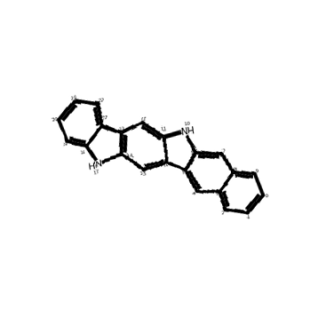 c1ccc2cc3c(cc2c1)[nH]c1cc2c(cc13)[nH]c1ccccc12